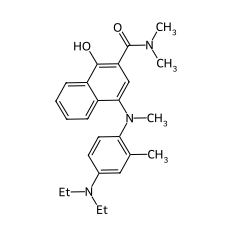 CCN(CC)c1ccc(N(C)c2cc(C(=O)N(C)C)c(O)c3ccccc23)c(C)c1